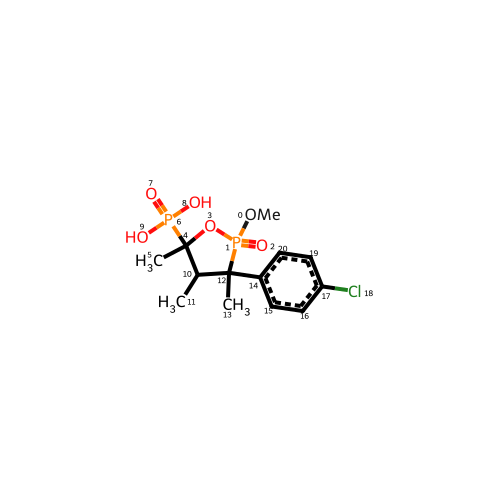 COP1(=O)OC(C)(P(=O)(O)O)C(C)C1(C)c1ccc(Cl)cc1